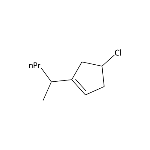 CCCC(C)C1=CCC(Cl)C1